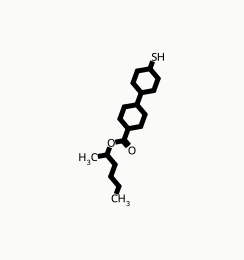 CCCCC(C)OC(=O)C1CCC(C2CCC(S)CC2)CC1